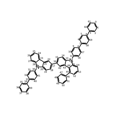 c1ccc(-c2ccc(-c3ccc(-n4c5ccc(-c6ccc7c(c6)c6ccccc6n7-c6ccc(-c7ccccc7)cc6)cc5c5c(-c6ccccc6)cccc54)cc3)cc2)cc1